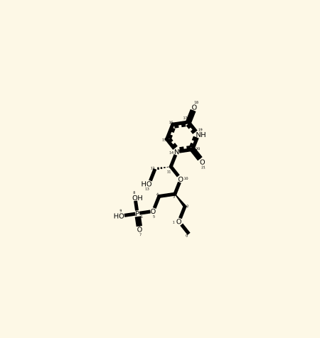 COC[C@@H](COP(=O)(O)O)O[C@H](CO)n1ccc(=O)[nH]c1=O